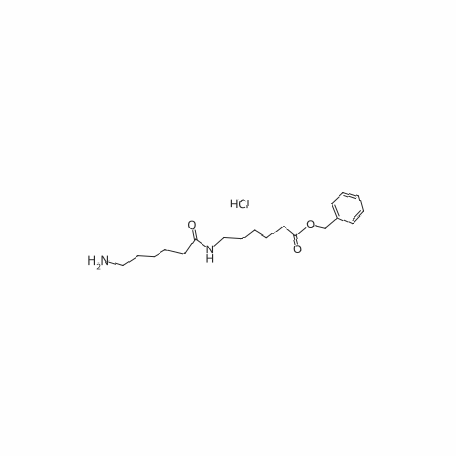 Cl.NCCCCCC(=O)NCCCCCC(=O)OCc1ccccc1